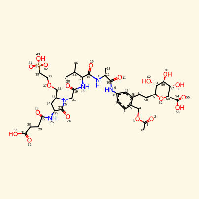 CC(=O)OCc1ccc(NC(=O)[C@H](C)NC(=O)[C@@H](NC(=O)CN2C(=O)[C@@H](NC(=O)CCC(=O)O)C[C@H]2COCCS(=O)(=O)O)C(C)C)cc1CC[C@@H]1O[C@H](C(=O)O)[C@@H](O)[C@H](O)[C@H]1O